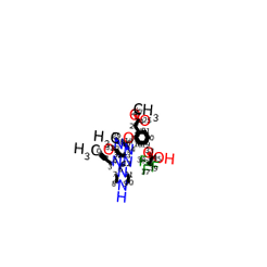 CC#CCn1c(N2CCNCC2)nc2nc(Oc3ccccc3CC(=O)OC)n(C)c(=O)c21.O=C(O)C(F)(F)F